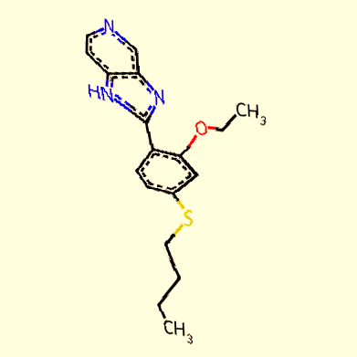 CCCCSc1ccc(-c2nc3cnccc3[nH]2)c(OCC)c1